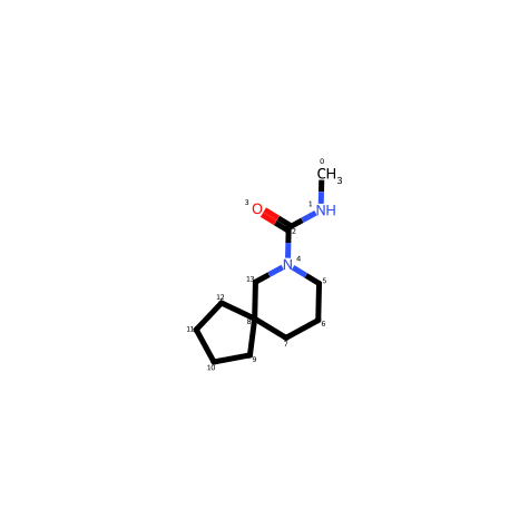 CNC(=O)N1CCCC2(CCCC2)C1